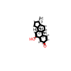 CC(=O)[C@H]1CC[C@H]2[C@@H]3C=C(O)C4=CC(=O)C=C[C@]4(C)[C@H]3CC[C@]12C